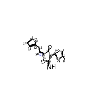 Cc1csc(N2C(=N)S/C(=C/Cc3ccco3)C2=O)n1